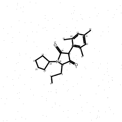 CCCC1C(=O)C(c2c(C)cc(C)cc2C)C(=O)N1C1CCCC1